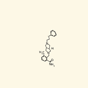 Cc1cccc(C(N)=O)c1CN1CC2CN(CC[CH]c3ccccc3)C[C@H]2C1